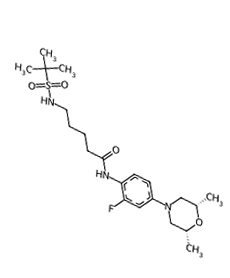 C[C@@H]1CN(c2ccc(NC(=O)CCCCNS(=O)(=O)C(C)(C)C)c(F)c2)C[C@H](C)O1